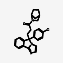 O=C(CCC1(c2ccc(Cl)cc2)c2ccccc2-c2nccn21)N1CC2CCC1C2